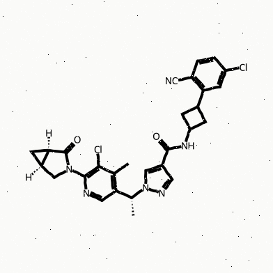 Cc1c([C@@H](C)n2cc(C(=O)NC3CC(c4cc(Cl)ccc4C#N)C3)cn2)cnc(N2C[C@H]3C[C@H]3C2=O)c1Cl